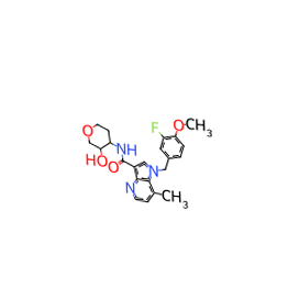 COc1ccc(Cn2cc(C(=O)NC3CCOCC3O)c3nccc(C)c32)cc1F